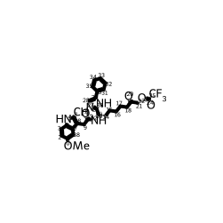 COc1ccc2[nH]c(C)c(CC(=O)N[C@@H](CCCCCC(=O)COC(=O)C(F)(F)F)c3ncc(-c4ccccc4)[nH]3)c2c1